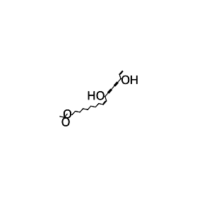 C=C[C@H](O)C#CC#C[C@@H](O)/C=C\CCCCCCCCOC(C)=O